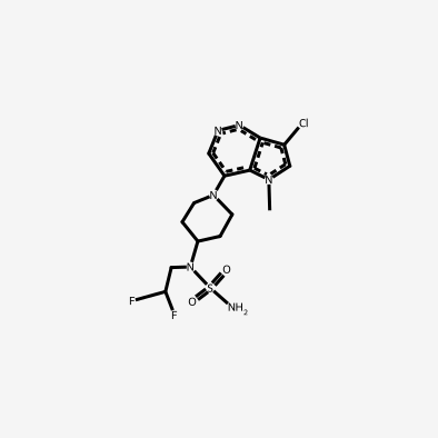 Cn1cc(Cl)c2nncc(N3CCC(N(CC(F)F)S(N)(=O)=O)CC3)c21